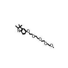 COCCOCCOCCOCCOc1ccc2c(c1)C(C)(C)C(C)=N2